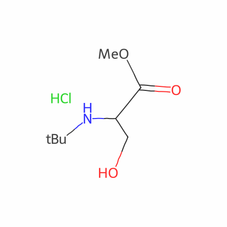 COC(=O)C(CO)NC(C)(C)C.Cl